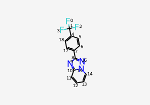 FC(F)(F)c1ccc(-c2nc3ccccn3n2)cc1